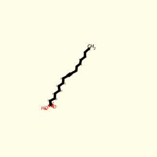 C=CCCCCCCC#CCCCCCCCC(=O)O